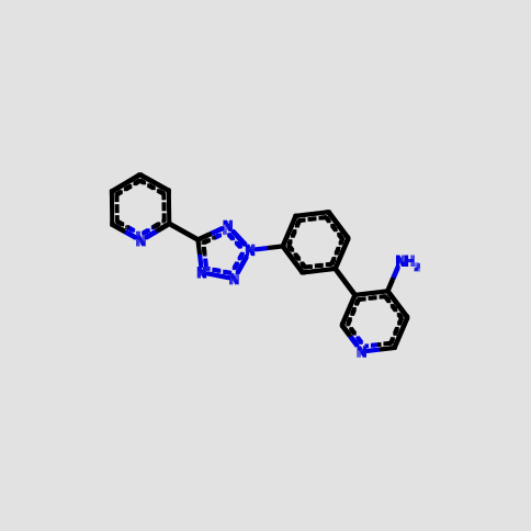 Nc1ccncc1-c1cccc(-n2nnc(-c3ccccn3)n2)c1